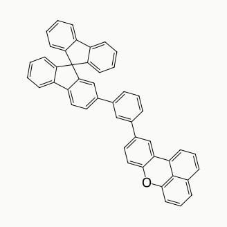 c1cc(-c2ccc3c(c2)-c2cccc4cccc(c24)O3)cc(-c2ccc3c(c2)C2(c4ccccc4-c4ccccc42)c2ccccc2-3)c1